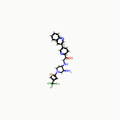 NC1CN(c2cc(C(F)(F)F)cs2)CCC1NCC(O)c1ccc(-c2cnc3ccccc3c2)cn1